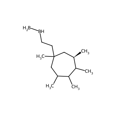 BBCCC1(C)CC(C)C(C)C(C)[C@H](C)C1